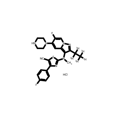 Cl.[2H]C([2H])([2H])C([2H])([2H])c1nn2cc(F)c(N3CCNCC3)cc2c1N(C)c1nc(-c2ccc(F)cc2)c(C#N)s1